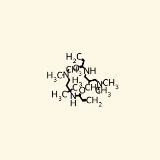 C=CC(=O)NC(C)(C)CCN(C)C.C=CC(=O)NCC(C)CN(C)C